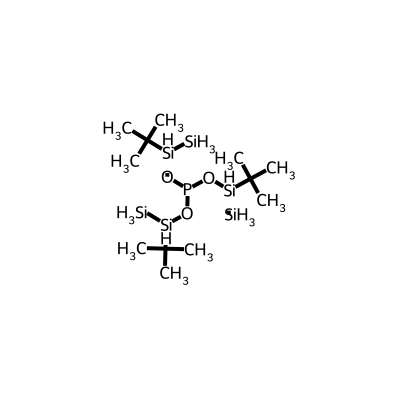 CC(C)(C)[SiH]([SiH3])OP(O[SiH]([SiH3])C(C)(C)C)O[SiH]([SiH3])C(C)(C)C